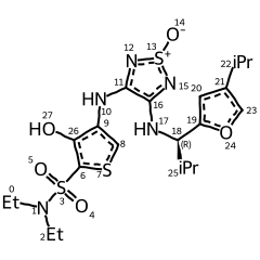 CCN(CC)S(=O)(=O)c1scc(Nc2n[s+]([O-])nc2N[C@@H](c2cc(C(C)C)co2)C(C)C)c1O